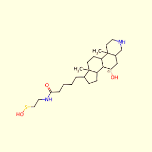 CC12CCC3C(C1CCC2CCCCC(=O)NCCSO)[C@@H](O)CC1CNCCC13C